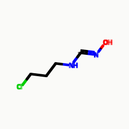 ON=[C]NCCCCl